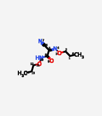 CCCON=C(C#N)C(=O)NOCCC